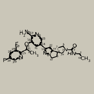 CCNC(=O)N1CC[C@@]2(CCn3nc(-c4cnc(N)c(OC(C)c5ncc(F)cc5F)c4)cc32)C1